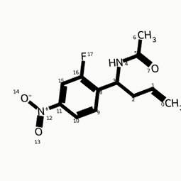 C=CCC(NC(C)=O)c1ccc([N+](=O)[O-])cc1F